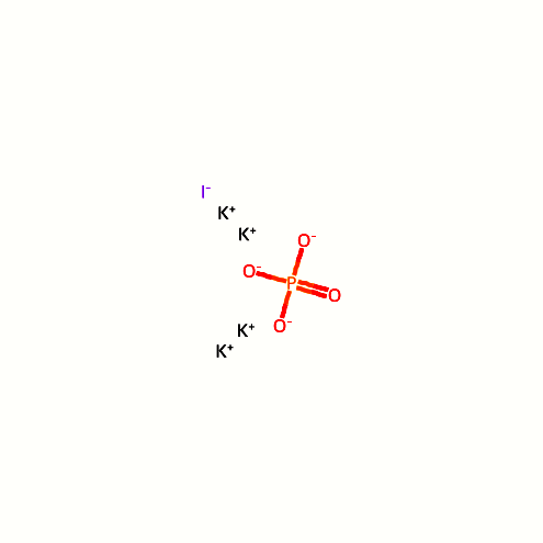 O=P([O-])([O-])[O-].[I-].[K+].[K+].[K+].[K+]